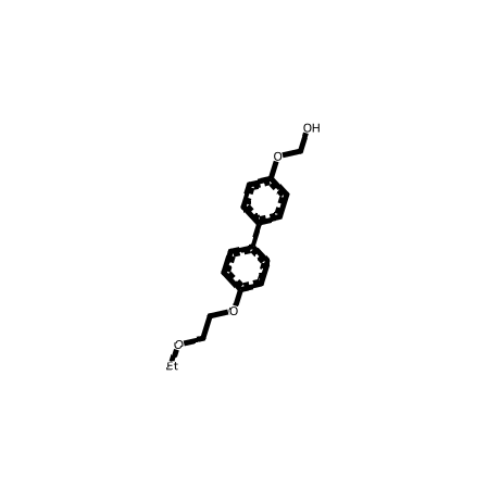 CCOCCOc1ccc(-c2ccc(OCO)cc2)cc1